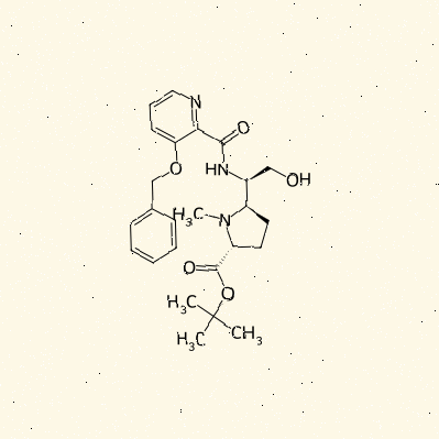 CN1[C@@H](C(=O)OC(C)(C)C)CC[C@@H]1[C@H](CO)NC(=O)c1ncccc1OCc1ccccc1